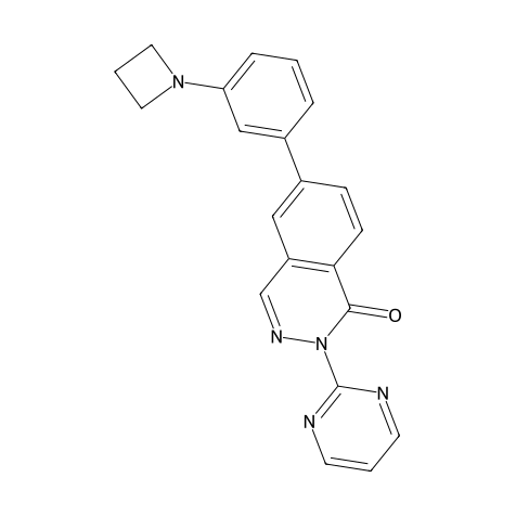 O=c1c2ccc(-c3cccc(N4CCC4)c3)cc2cnn1-c1ncccn1